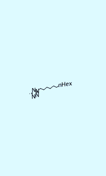 CCCCCCCCCCCCn1n[c]nn1